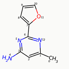 Cc1cc(N)nc(-c2ccco2)n1